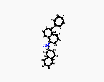 c1ccc(-c2cccc3c(Nc4ccc5ccccc5c4)cccc23)cc1